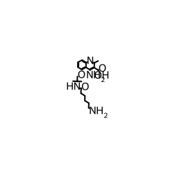 Cc1nc2cccc(OCC(C)(C)NC(=O)CCCCCN)c2c(N)c1C(=O)O